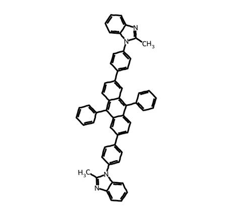 Cc1nc2ccccc2n1-c1ccc(-c2ccc3c(-c4ccccc4)c4cc(-c5ccc(-n6c(C)nc7ccccc76)cc5)ccc4c(-c4ccccc4)c3c2)cc1